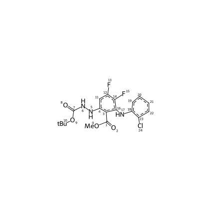 COC(=O)c1c(NNC(=O)OC(C)(C)C)cc(F)c(F)c1Nc1ccccc1Cl